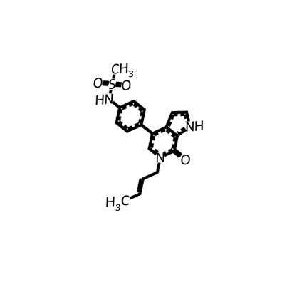 C/C=C/Cn1cc(-c2ccc(NS(C)(=O)=O)cc2)c2cc[nH]c2c1=O